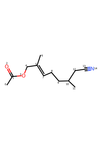 CC(=O)OCC(C)=CCCC(C)CC#N